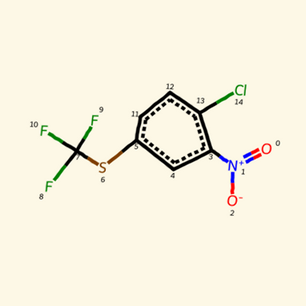 O=[N+]([O-])c1cc(SC(F)(F)F)ccc1Cl